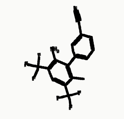 Cc1c(C(F)(F)F)cc(C(F)(F)F)c(N)c1-c1cccc(C#N)c1